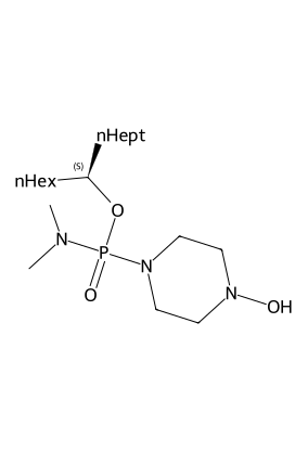 CCCCCCC[C@H](CCCCCC)OP(=O)(N(C)C)N1CCN(O)CC1